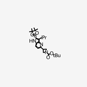 CC(C)c1c(B2OC(C)(C)C(C)(C)O2)[nH]c2ccc(C3CN(C(=O)OC(C)(C)C)C3)nc12